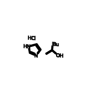 CCC(C)C(C)O.Cl.c1c[nH]cn1